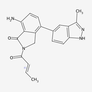 C/C=C/C(=O)N1Cc2c(-c3ccc4[nH]nc(C)c4c3)ccc(N)c2C1=O